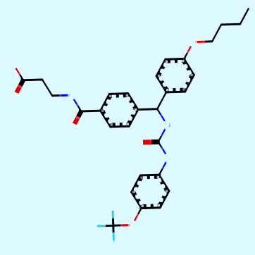 CCCCOc1ccc(C(NC(=O)Nc2ccc(OC(F)(F)F)cc2)c2ccc(C(=O)NCCC(=O)O)cc2)cc1